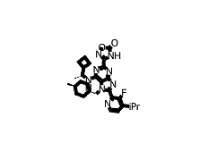 CC(C)c1ccnc(-c2nc3nc(-c4noc(=O)[nH]4)nc(N[C@H](C)C4CCC4)c3n2C[C@H]2CC[C@H](C)CC2)c1F